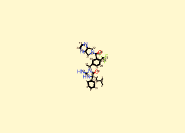 CC(C)CC[C@]1(c2ccccc2)NC(=N)N(C(C)c2ccc(C(F)(F)F)c(C(=O)N3Cc4nccnc4C3)c2)C1=O